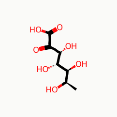 C[C@@H](O)[C@H](O)[C@H](O)[C@@H](O)C(=O)C(=O)O